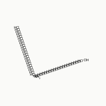 Cl.Cl.Cl.Cl.Cl.Cl.Cl.Cl.Cl.Cl.Cl.Cl.Cl.Cl.Cl.Cl.Cl.Cl.Cl.Cl.Cl.Cl.Cl.Cl.Cl.Cl.Cl.Cl.Cl.Cl.Cl.Cl.Cl.Cl.Cl.Cl.Cl.Cl.Cl.Cl.Cl.Cl.Cl.Cl.N